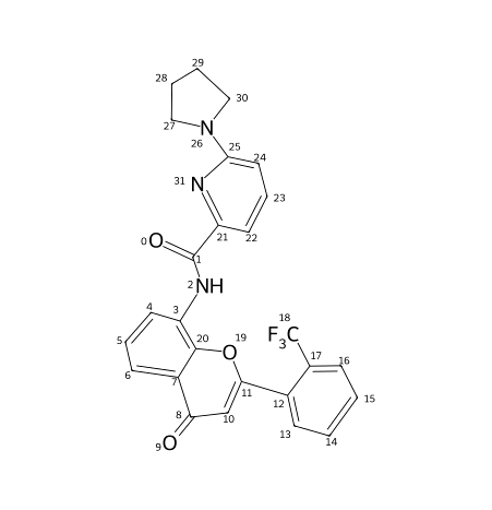 O=C(Nc1cccc2c(=O)cc(-c3ccccc3C(F)(F)F)oc12)c1cccc(N2CCCC2)n1